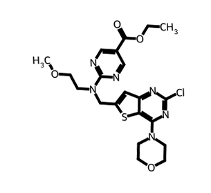 CCOC(=O)c1cnc(N(CCOC)Cc2cc3nc(Cl)nc(N4CCOCC4)c3s2)nc1